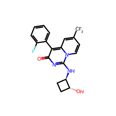 O=c1nc(N[C@@H]2CC[C@H]2O)n2ccc(C(F)(F)F)cc2c1-c1ccccc1F